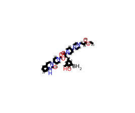 Bc1cc(C[C@@H](OC(=O)N2CCC(N3CCc4ccccc4NC3=O)CC2)C(=O)N2CCC(N3CCN(CCC(=O)OCC)CC3)CC2)cc(C)c1O